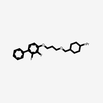 CCCC1CCC(COCCCOc2ccc(-c3ccccc3)c(F)c2F)CC1